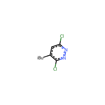 CCC(C)c1cc(Cl)nnc1Cl